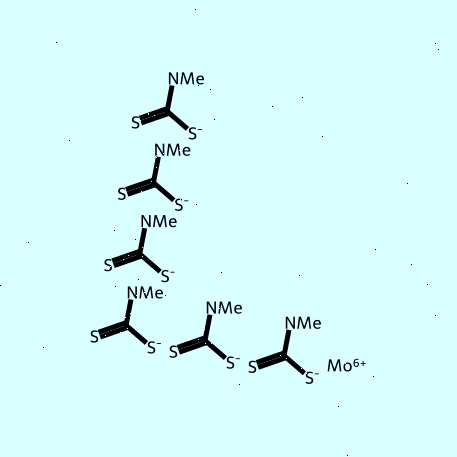 CNC(=S)[S-].CNC(=S)[S-].CNC(=S)[S-].CNC(=S)[S-].CNC(=S)[S-].CNC(=S)[S-].[Mo+6]